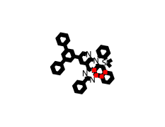 C[Si]1(C)c2ccccc2N(c2ncc(-c3cc(-c4ccccc4)cc(-c4ccccc4)c3)cc2-c2nc(-c3ccccc3)nc(-c3ccccc3)n2)c2ccccc21